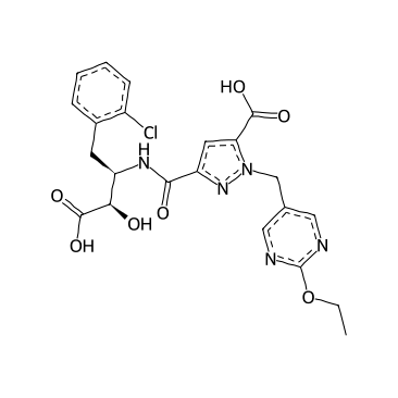 CCOc1ncc(Cn2nc(C(=O)N[C@H](Cc3ccccc3Cl)[C@@H](O)C(=O)O)cc2C(=O)O)cn1